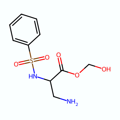 NCC(NS(=O)(=O)c1ccccc1)C(=O)OCO